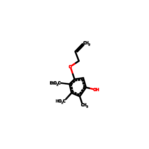 C=CCOc1cc(O)c(C)c(C(=O)O)c1C(=O)OCC